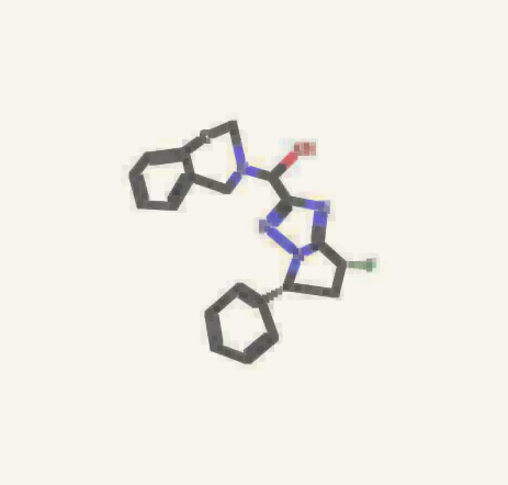 OC(c1nc2n(n1)[C@@H](c1ccccc1)C[C@H]2F)N1CCc2ccccc2C1